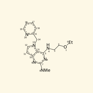 CCOCCNc1nc(NC)nc2ccn(Cc3ccccn3)c12